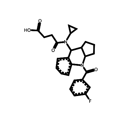 O=C(O)CCC(=O)N(C1CC1)C1c2ccccc2N(C(=O)c2cccc(F)c2)C2CCCC21